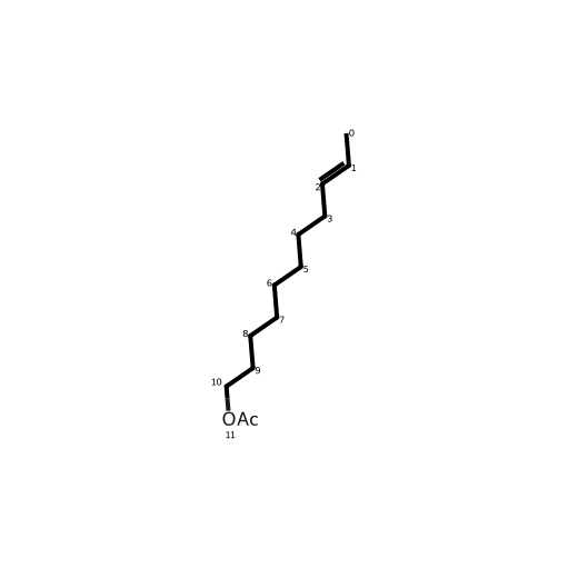 CC=CCCCCCCCCOC(C)=O